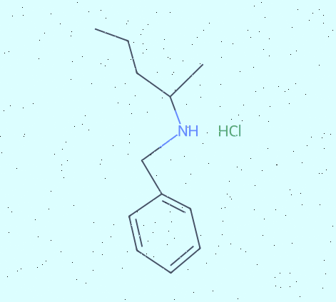 CCCC(C)NCc1ccccc1.Cl